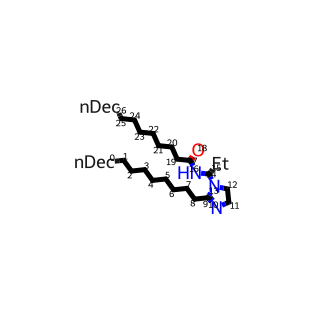 CCCCCCCCCCCCCCCCCCC1=NCCN1C(CC)NC(=O)CCCCCCCCCCCCCCCCC